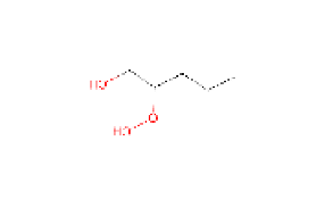 CCCC(CO)OO